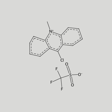 C[n+]1c2ccccc2c(Cl)c2ccccc21.O=S(=O)([O-])C(F)(F)F